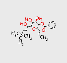 C=CCC1O[C@@H](C(O)/C=C/[Si](C)(C)C)C(O)C(O)C1OC(=O)c1ccccc1